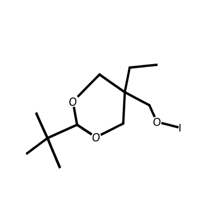 CCC1(COI)COC(C(C)(C)C)OC1